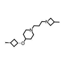 CC1CN(CCCN2CCC(O[C@H]3C[C@H](C)C3)CC2)C1